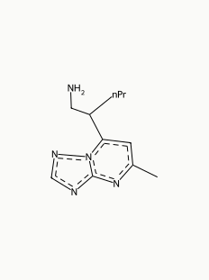 CCCC(CN)c1cc(C)nc2ncnn12